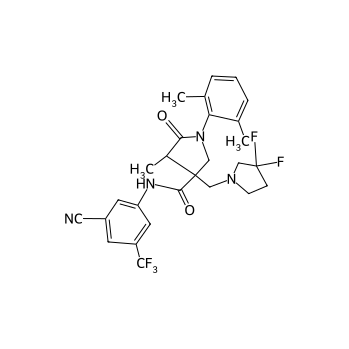 Cc1cccc(C)c1N1CC(CN2CCC(F)(F)C2)(C(=O)Nc2cc(C#N)cc(C(F)(F)F)c2)C(C)C1=O